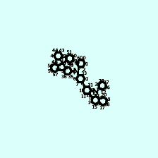 c1ccc(N(c2ccc(-c3ccc4c5ccc6ccccc6c5n(-c5ccccc5)c4c3)cc2)c2ccc3c(c2)C(c2ccccc2)(c2ccccc2)c2ccccc2-3)cc1